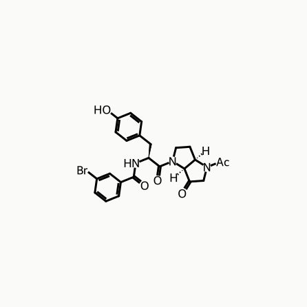 CC(=O)N1CC(=O)[C@@H]2[C@H]1CCN2C(=O)[C@H](Cc1ccc(O)cc1)NC(=O)c1cccc(Br)c1